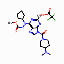 CN(C)C1CCN(C(=O)n2cnc3c(N(NC(=O)OC(C)(C)C)C4CCCC4)nc(C#N)nc32)CC1.O=C(O)C(F)(F)F